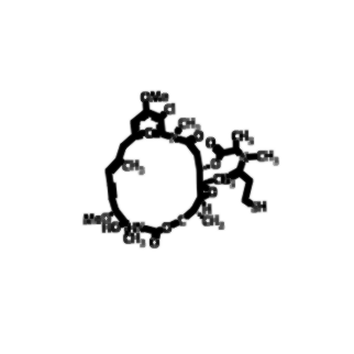 COc1cc2cc(c1Cl)N(C)C(=O)C[C@H](OC(=O)C(C)N(C)C(=O)CCS)[C@]1(C)O[C@H]1[C@H](C)COC(=O)N[C@@](C)(O)[C@H](OC)/C=C/C=C(\C)C2